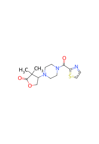 CC1(C)C(=O)OCC1N1CCN(C(=O)c2nccs2)CC1